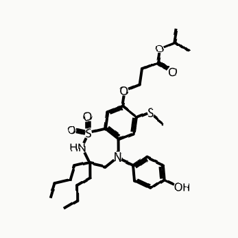 CCCCC1(CCCC)CN(c2ccc(O)cc2)c2cc(SC)c(OCCC(=O)OC(C)C)cc2S(=O)(=O)N1